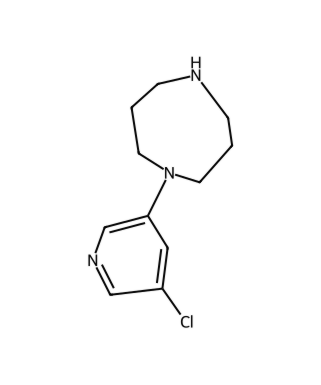 Clc1cncc(N2CCCNCCC2)c1